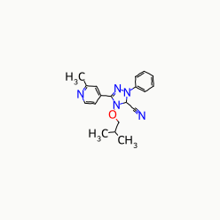 Cc1cc(C2=NN(c3ccccc3)C(C#N)N2OCC(C)C)ccn1